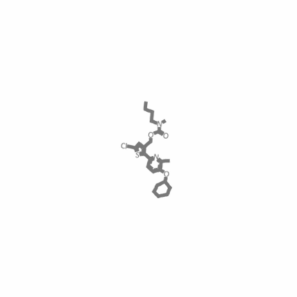 CCCCN(C)C(=O)OCc1cc(Cl)sc1-c1ccc(OC2CCCCC2)c(C)n1